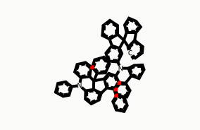 c1ccc(-c2ccccc2N(c2ccc3c(c2)C2(c4ccccc4-c4ccccc42)c2ccccc2-3)c2cc(-c3ccccc3)c3c(c2)C2(c4ccccc4)c4ccccc4N(c4ccccc4)c4cccc-3c42)cc1